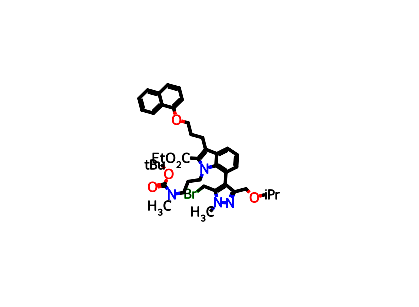 CCOC(=O)c1c(CCCOc2cccc3ccccc23)c2cccc(-c3c(COC(C)C)nn(C)c3CBr)c2n1CCCN(C)C(=O)OC(C)(C)C